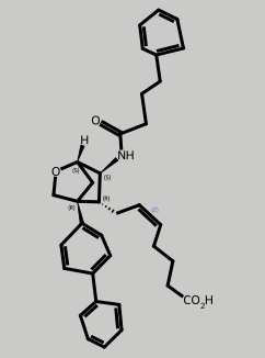 O=C(O)CCC/C=C\C[C@H]1[C@H](NC(=O)CCCc2ccccc2)[C@@H]2C[C@@]1(c1ccc(-c3ccccc3)cc1)CO2